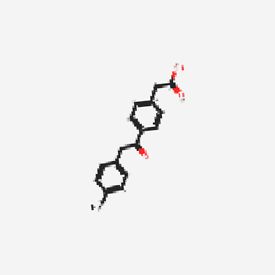 Cc1ccc(CC(=O)c2ccc(CC(=O)O)cc2)cc1